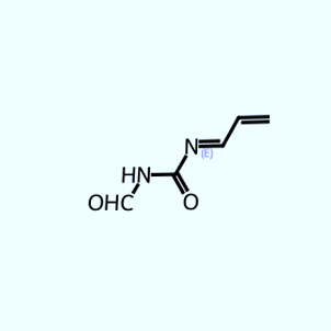 C=C/C=N/C(=O)NC=O